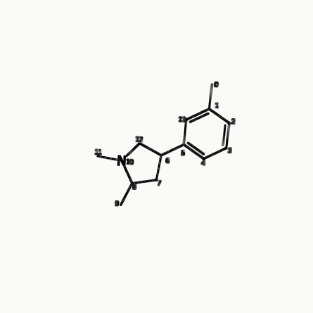 Cc1cccc(C2CC(C)N(C)C2)c1